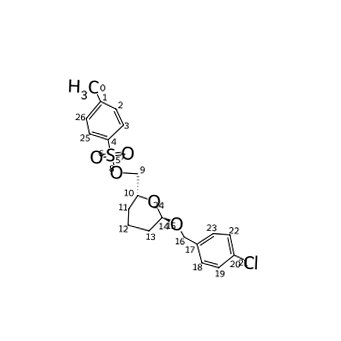 Cc1ccc(S(=O)(=O)OC[C@H]2CCC[C@H](OCc3ccc(Cl)cc3)O2)cc1